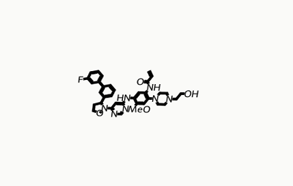 C=CC(=O)Nc1cc(Nc2cc(N3OCCC3c3cccc(-c4cccc(F)c4)c3)ncn2)c(OC)cc1N1CCN(CCO)CC1